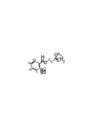 CN(C)CCONc1ccccc1.Cl.Cl